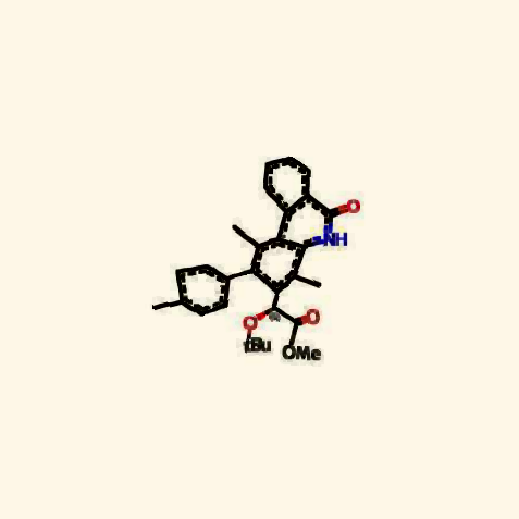 COC(=O)[C@@H](OC(C)(C)C)c1c(-c2ccc(C)cc2)c(C)c2c([nH]c(=O)c3ccccc32)c1C